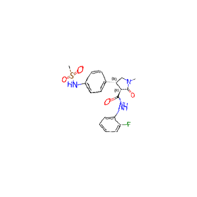 CN1C[C@@H](c2ccc(NS(C)(=O)=O)cc2)[C@H](C(=O)Nc2ccccc2F)C1=O